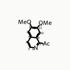 COc1cc2ccnc(C(C)=O)c2cc1OC